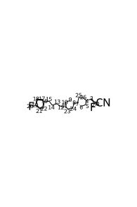 N#CC(F)=C[C@H]1CC[C@H]([C@H]2CC[C@H](CCCCc3ccc(F)cc3)CC2)CC1